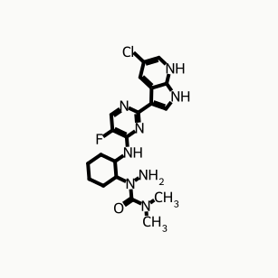 CN(C)C(=O)N(N)C1CCCCC1Nc1nc(C2=CNC3NC=C(Cl)C=C23)ncc1F